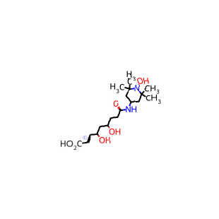 CC1(C)CC(NC(=O)CCC(O)CC(O)/C=C/C(=O)O)CC(C)(C)N1O